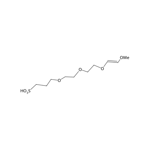 COC=COCCOCCOCCCS(=O)(=O)O